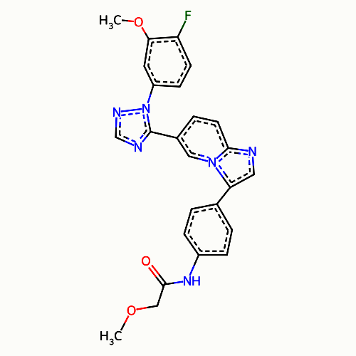 COCC(=O)Nc1ccc(-c2cnc3ccc(-c4ncnn4-c4ccc(F)c(OC)c4)cn23)cc1